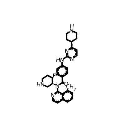 Cc1cccc2ccnc(N(C(=O)c3ccc(Nc4nccc(C5CCNCC5)n4)cc3F)[C@@H]3CCCNC3)c12